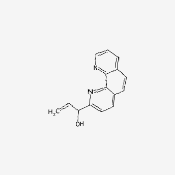 C=CC(O)c1ccc2ccc3cccnc3c2n1